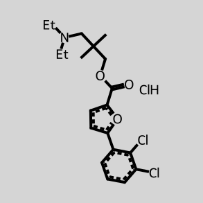 CCN(CC)CC(C)(C)COC(=O)c1ccc(-c2cccc(Cl)c2Cl)o1.Cl